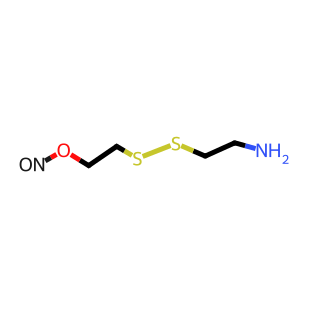 NCCSSCCON=O